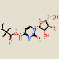 CCC(C)(C)C(=O)ONc1ccn([C@@H]2O[C@H](CO)[C@@H](O)[C@H]2O)c(=O)n1